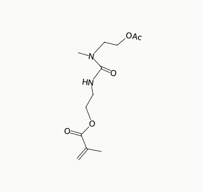 C=C(C)C(=O)OCCNC(=O)N(C)CCOC(C)=O